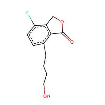 O=C1OCc2c(F)ccc(CCCCO)c21